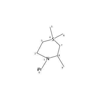 CC(C)N1CCS(C)(C)CC1C